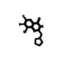 O=c1[nH]c(CN2CCCC2)nc2c(Cl)c(F)c(F)cc12